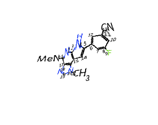 CNc1nc2[nH]c(-c3cc(F)cc(C#N)c3)cc2c2c1ncn2C